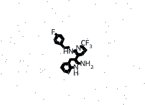 NC1=C(c2ccc(C(F)(F)F)nc2NCCc2ccc(F)cc2)Cc2ccc[c]c2N1